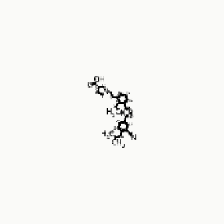 CCc1c(CCN2CC[C@H](C(=O)O)C2)cccc1-c1nsc(-c2ccc(CC(C)C)c(C#N)c2)n1